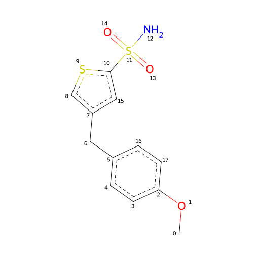 COc1ccc(Cc2csc(S(N)(=O)=O)c2)cc1